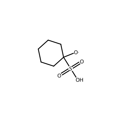 [O]C1(S(=O)(=O)O)CCCCC1